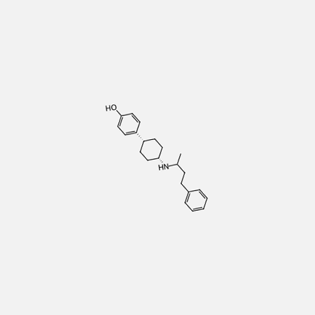 CC(CCc1ccccc1)N[C@H]1CC[C@@H](c2ccc(O)cc2)CC1